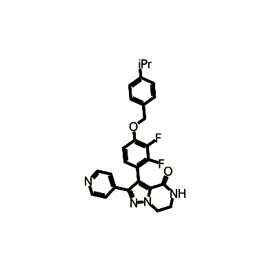 CC(C)c1ccc(COc2ccc(-c3c(-c4ccncc4)nn4c3C(=O)NCC4)c(F)c2F)cc1